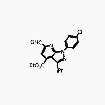 CCOC(=O)c1cc(C=O)nc2c1c(C(C)C)nn2-c1ccc(Cl)cc1